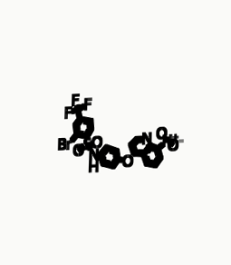 O=[N+]([O-])c1cccc2c(Oc3ccc(NS(=O)(=O)c4ccc(C(F)(F)F)cc4Br)cc3)ccnc12